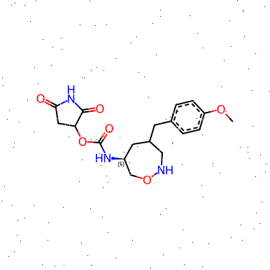 COc1ccc(CC2CNOC[C@@H](NC(=O)OC3CC(=O)NC3=O)C2)cc1